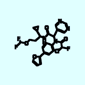 O=C(NC(CCOC(F)F)C1CC1)C(c1cncnc1)N(C(=O)C(F)Cl)c1ccc(-c2ccco2)cc1